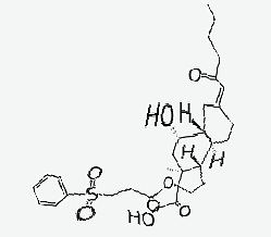 CCCCC(=O)/C=C1/CC[C@@H]2[C@@H](C1)[C@@H](O)C[C@@]1(C)[C@H]2CC[C@]1(OC(=O)CCS(=O)(=O)c1ccccc1)C(=O)CO